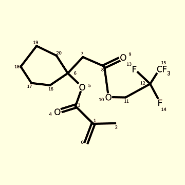 C=C(C)C(=O)OC1(CC(=O)OCC(F)(F)C(F)(F)F)CCCCC1